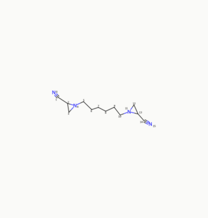 N#CC1CN1CCCCCCN1CC1C#N